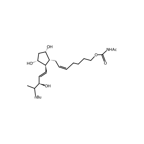 CCCCC(C)[C@H](O)/C=C/[C@@H]1[C@@H](C/C=C\CCCCOC(=O)NC(C)=O)[C@@H](O)C[C@H]1O